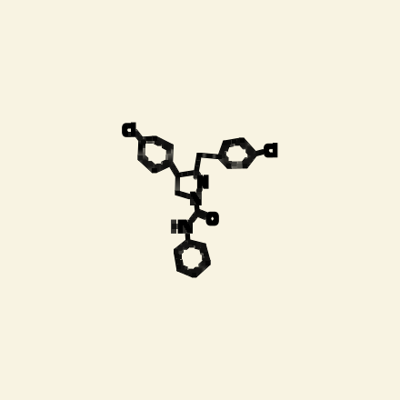 O=C(Nc1ccccc1)N1CC(c2ccc(Cl)cc2)C(Cc2ccc(Cl)cc2)=N1